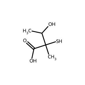 CC(O)C(C)(S)C(=O)O